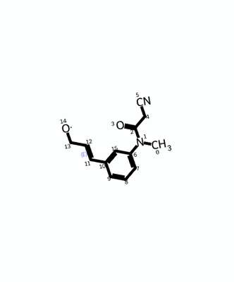 CN(C(=O)CC#N)c1cccc(/C=C/C[O])c1